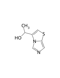 CC(O)c1csc2cncn12